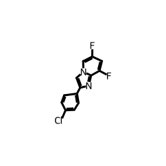 Fc1cc(F)c2nc(-c3ccc(Cl)cc3)cn2c1